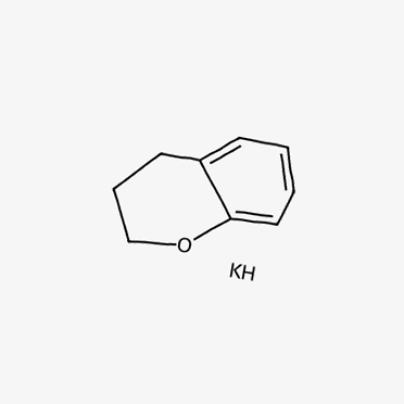 [KH].c1ccc2c(c1)CCCO2